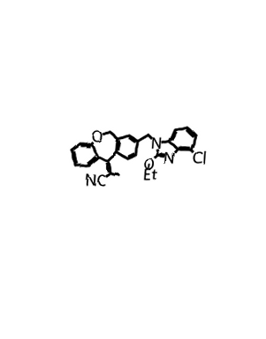 CCOc1nc2c(Cl)cccc2n1Cc1ccc2c(c1)COc1ccccc1C2=C(C)C#N